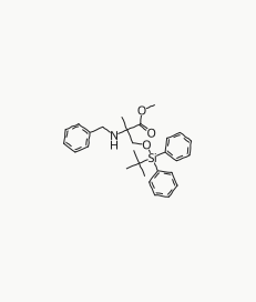 COC(=O)C(C)(CO[Si](c1ccccc1)(c1ccccc1)C(C)(C)C)NCc1ccccc1